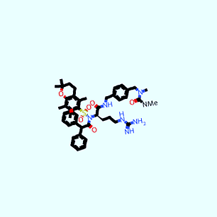 CNC(=O)N(C)Cc1ccc(CNC(=O)[C@@H](CCCNC(=N)N)N(C(=O)C(c2ccccc2)c2ccccc2)S(=O)(=O)c2c(C)c(C)c3c(c2C)CCC(C)(C)O3)cc1